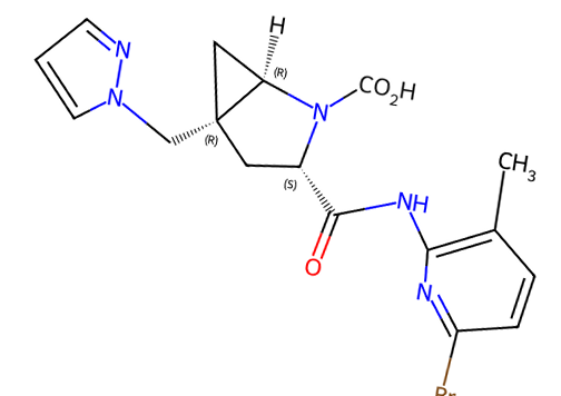 Cc1ccc(Br)nc1NC(=O)[C@@H]1C[C@@]2(Cn3cccn3)C[C@H]2N1C(=O)O